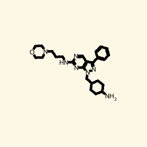 NC1CCC(Cn2nc(-c3ccccc3)c3cnc(NCCCN4CCOCC4)nc32)CC1